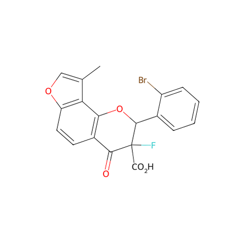 Cc1coc2ccc3c(c12)OC(c1ccccc1Br)C(F)(C(=O)O)C3=O